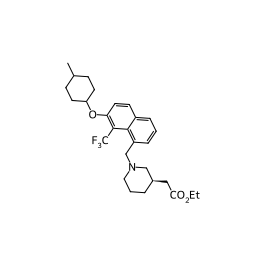 CCOC(=O)C[C@H]1CCCN(Cc2cccc3ccc(OC4CCC(C)CC4)c(C(F)(F)F)c23)C1